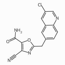 N#Cc1nc(Cc2ccc3ncc(Cl)cc3c2)oc1C(N)=O